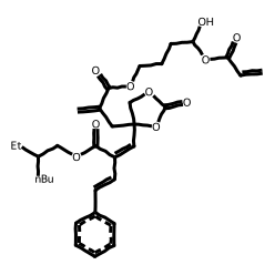 C=CC(=O)OC(O)CCCOC(=O)C(=C)CC1(C=C(C=Cc2ccccc2)C(=O)OCC(CC)CCCC)COC(=O)O1